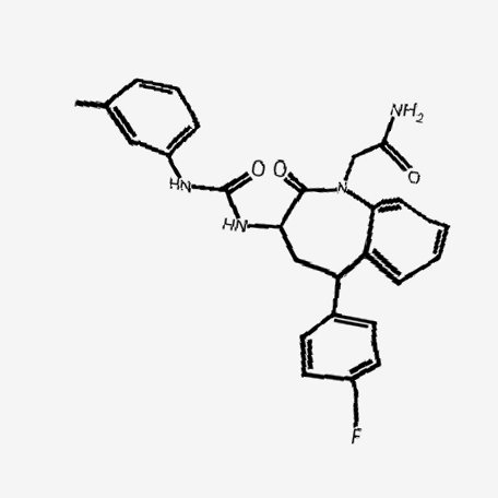 Cc1cccc(NC(=O)NC2CC(c3ccc(F)cc3)c3ccccc3N(CC(N)=O)C2=O)c1